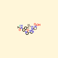 Cc1ccc2c(NC(=O)C3(F)CC3)cccc2c1Oc1ncccc1-c1ccnc(N[C@H]2CCCN(C(=O)O)C2)n1